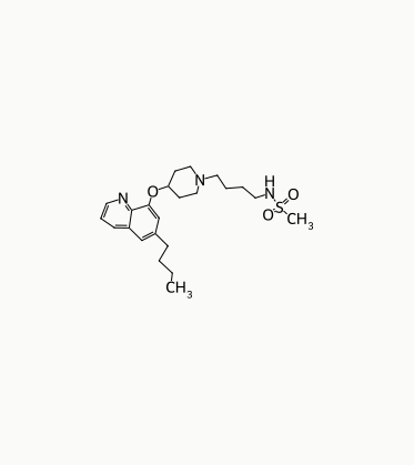 CCCCc1cc(OC2CCN(CCCCNS(C)(=O)=O)CC2)c2ncccc2c1